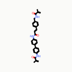 C=C(C)C(=O)NCc1ccc(/C=C/C(=O)Nc2ccc(-c3ccc(NC(=O)C(=C)C)cc3)cc2)cc1